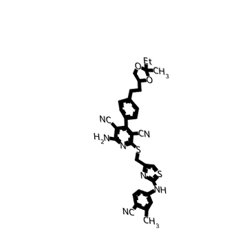 CCC1(C)OCC(CCc2ccc(-c3c(C#N)c(N)nc(SCc4csc(Nc5ccc(C#N)c(C)c5)n4)c3C#N)cc2)O1